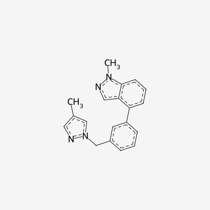 Cc1cnn(Cc2cccc(-c3cccc4c3cnn4C)c2)c1